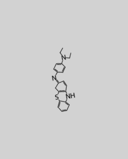 CCN(CC)c1ccc(N=C2C=CC3=C(C2)Sc2ccccc2N3)cc1